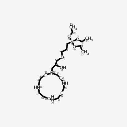 CCO[Si](CCCOCC(O)CN1CCCNCCCNCCCNCC1)(OCC)OCC